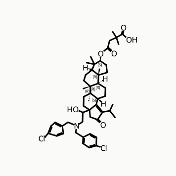 CC(C)C1=C2[C@H]3CC[C@@H]4[C@@]5(C)CC[C@H](OC(=O)CC(C)(C)C(=O)O)C(C)(C)[C@@H]5CC[C@@]4(C)[C@]3(C)CCC2(C(O)CN(Cc2ccc(Cl)cc2)Cc2ccc(Cl)cc2)CC1=O